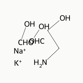 NCCO.O=[C-]O.O=[C-]O.[K+].[Na+]